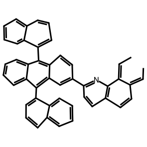 C/C=c1/ccc2ccc(-c3ccc4c(-c5cccc6ccccc56)c5ccccc5c(-c5cccc6ccccc56)c4c3)nc2/c1=C/C